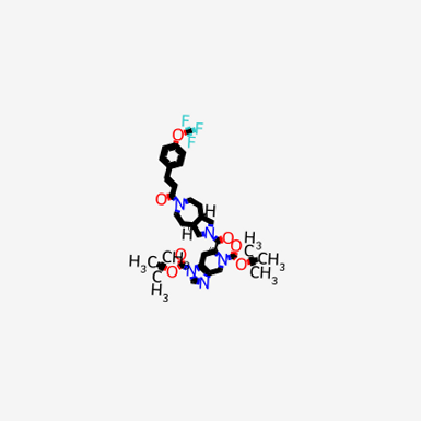 CC(C)(C)OC(=O)N1Cc2ncn(C(=O)OC(C)(C)C)c2C[C@H]1C(=O)N1C[C@H]2CCN(C(=O)C=Cc3ccc(OC(F)(F)F)cc3)CC[C@H]2C1